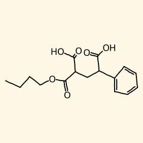 CCCCOC(=O)C(CC(C(=O)O)c1ccccc1)C(=O)O